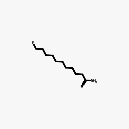 NC(=O)CCCCCCCCCCF